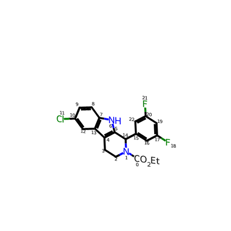 CCOC(=O)N1CCc2c([nH]c3ccc(Cl)cc23)C1c1cc(F)cc(F)c1